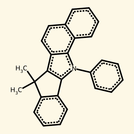 CC1(C)c2ccccc2-c2c1c1ccc3ccccc3c1n2-c1ccccc1